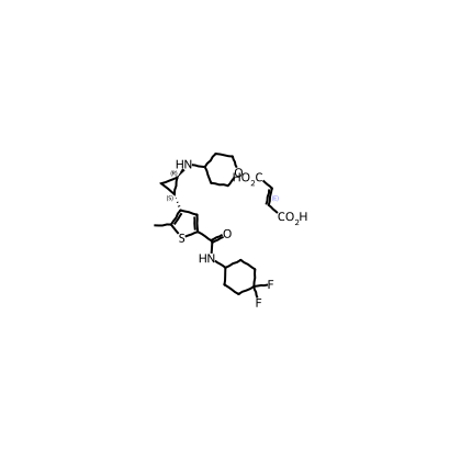 Cc1sc(C(=O)NC2CCC(F)(F)CC2)cc1[C@@H]1C[C@H]1NC1CCOCC1.O=C(O)/C=C/C(=O)O